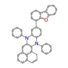 C1=Cc2cccc3cc4c(c(c23)C1)N(c1ccccc1)c1ccc(-c2cccc3c2oc2ccccc23)cc1N4c1ccccc1